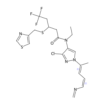 C=N/C=C\C=C(/C)n1cc(N(CC)C(=O)CC(CC(F)(F)F)SCc2cscn2)c(Cl)n1